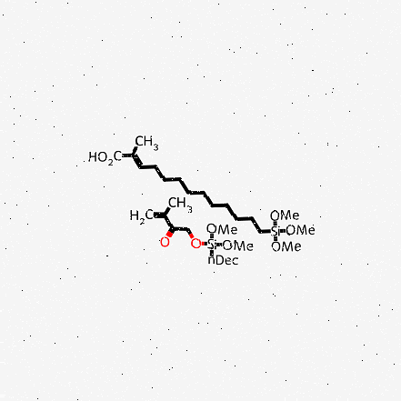 C=C(C)C(=O)CO[Si](CCCCCCCCCC)(OC)OC.CO[Si](CCCCCCCCCCC=C(C)C(=O)O)(OC)OC